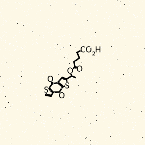 CC(OC(=O)CCCC(=O)O)c1cc2c(s1)C(=O)c1ccsc1C2=O